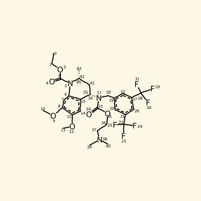 CCOC(=O)N1c2cc(OC)c(OC)cc2[C@@H](N(Cc2cc(C(F)(F)F)cc(C(F)(F)F)c2)C(=O)OCCN(C)C)C[C@H]1C